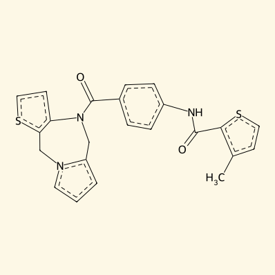 Cc1ccsc1C(=O)Nc1ccc(C(=O)N2Cc3cccn3Cc3sccc32)cc1